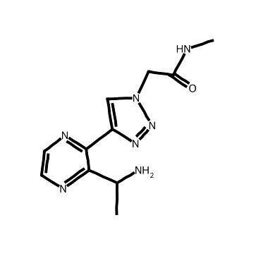 CNC(=O)Cn1cc(-c2nccnc2C(C)N)nn1